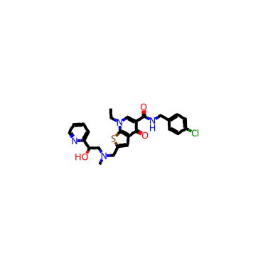 CCn1cc(C(=O)NCc2ccc(Cl)cc2)c(=O)c2cc(CN(C)CC(O)c3ccccn3)sc21